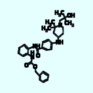 CC(C)(O)CN1CCC(Nc2ccc(C(=O)Nc3ccccc3NC(=O)OCc3ccccc3)cc2)CC1(C)C